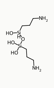 NCCC[SiH](O)O[Si](O)(O)CCCN